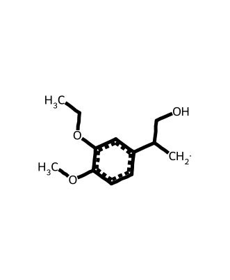 [CH2]C(CO)c1ccc(OC)c(OCC)c1